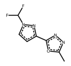 Cc1nnc(-c2ccn(C(F)F)n2)o1